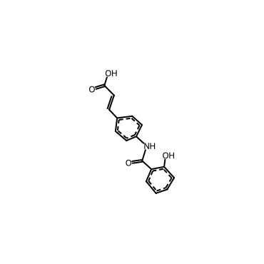 O=C(O)/C=C/c1ccc(NC(=O)c2ccccc2O)cc1